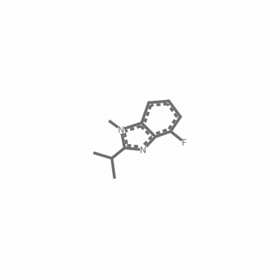 CC(C)c1nc2c(F)cccc2n1C